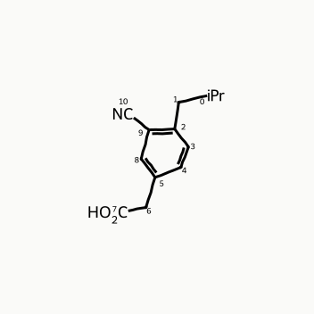 CC(C)Cc1ccc(CC(=O)O)cc1C#N